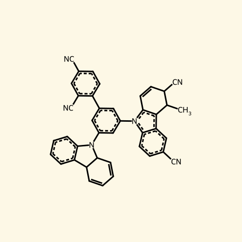 CC1c2c(n(-c3cc(-c4ccc(C#N)cc4C#N)cc(N4c5ccccc5C5C=CC=CC54)c3)c3ccc(C#N)cc23)C=CC1C#N